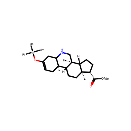 COC(=O)[C@H]1CC[C@H]2[C@@H]3CNC4CC(O[Si](C(C)C)(C(C)C)C(C)C)=CC[C@]4(C)[C@H]3CC[C@]12C